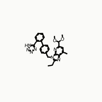 CCc1nc2c(C)cc(C(OC)OC)nc2n1Cc1ccc(-c2ccccc2-c2nnn[nH]2)cc1